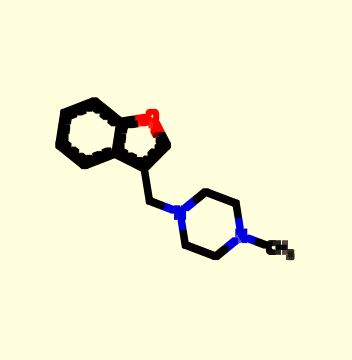 CN1CCN(Cc2coc3ccccc23)CC1